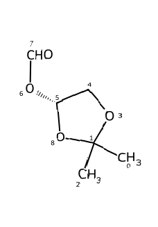 CC1(C)OC[C@@H](OC=O)O1